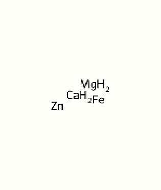 [CaH2].[Fe].[MgH2].[Zn]